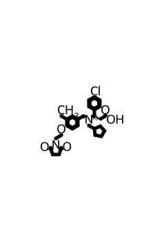 CCc1cc(CN(CC2CCCC2)[C@H](CC(=O)O)c2ccc(Cl)cc2)ccc1OCCN1C(=O)CCC1=O